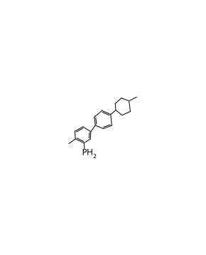 Cc1ccc(-c2ccc(C3CCC(C)CC3)cc2)cc1P